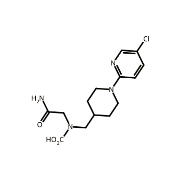 NC(=O)CN(CC1CCN(c2ccc(Cl)cn2)CC1)C(=O)O